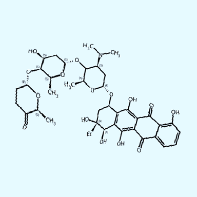 CC[C@@]1(O)CC(O[C@H]2C[C@H](N(C)C)C(O[C@H]3C[C@H](O)[C@H](O[C@H]4CCC(=O)[C@H](C)O4)[C@H](C)O3)[C@H](C)O2)c2c(O)c3c(c(O)c2[C@H]1O)C(=O)c1cccc(O)c1C3=O